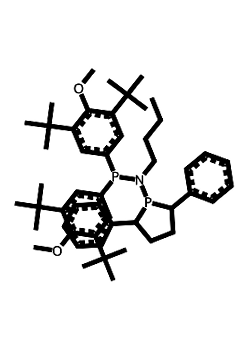 CCCCN(P(c1cc(C(C)(C)C)c(OC)c(C(C)(C)C)c1)c1cc(C(C)(C)C)c(OC)c(C(C)(C)C)c1)P1C(c2ccccc2)CCC1c1ccccc1